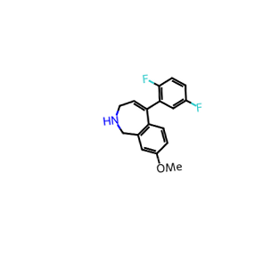 COc1ccc2c(c1)CNCC=C2c1cc(F)ccc1F